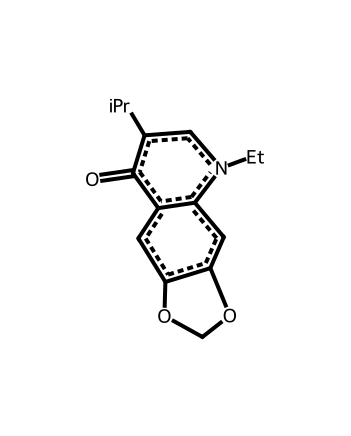 CCn1cc(C(C)C)c(=O)c2cc3c(cc21)OCO3